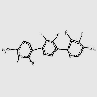 Cc1ccc(-c2ccc(-c3ccc(C)c(F)c3F)c(F)c2F)c(F)c1F